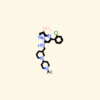 Bc1cnn2c(NCC3CCCN(C4CCN(C(C)=O)CC4)C3)cc(-c3ccccc3Cl)nc12